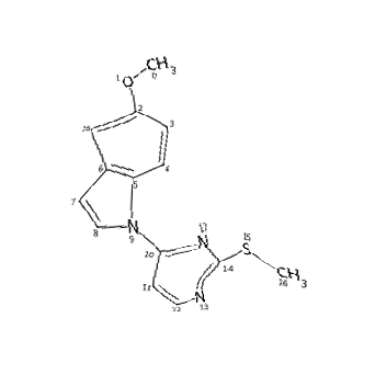 COc1ccc2c(ccn2-c2ccnc(SC)n2)c1